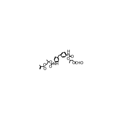 C=C(C)C(=O)OCC(C)OC(=O)Nc1ccc(Cc2ccc(NC(=O)OC(C)COC=O)cc2)cc1